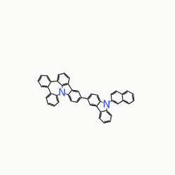 c1ccc2c(c1)-c1ccccc1-n1c3ccc(-c4ccc5c(c4)c4ccccc4n5-c4ccc5ccccc5c4)cc3c3cccc-2c31